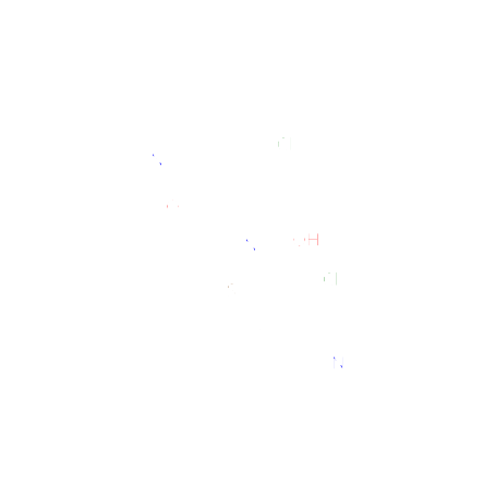 Cc1noc(N(O)Sc2cccnc2Cl)c1Cl